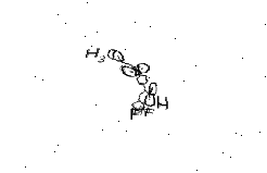 COCCS(=O)(=O)C1C=CC(C(CC2C[C@@H](F)[C@@H](F)C2)C(=O)O)=CC1